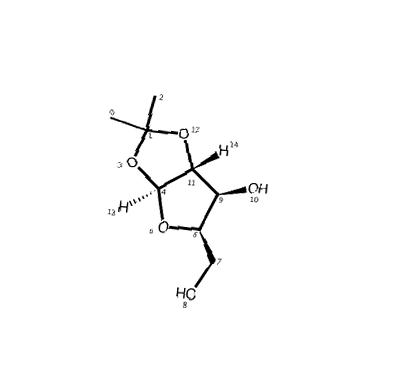 CC1(C)O[C@@H]2O[C@H](CO)[C@H](O)[C@H]2O1